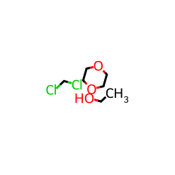 C1COCCO1.CCO.ClCCl